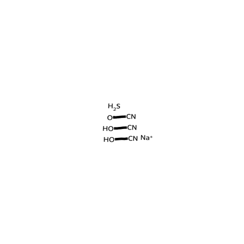 N#CO.N#CO.N#C[O-].S.[Na+]